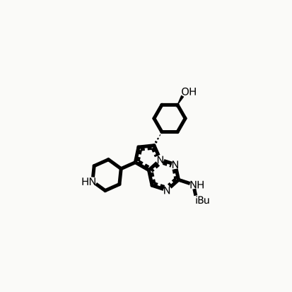 CCC(C)Nc1ncc2c(C3CCNCC3)cc([C@H]3CC[C@H](O)CC3)n2n1